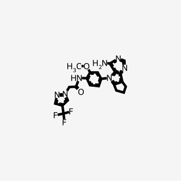 COc1cc(-n2c3c(c4ncnc(N)c42)CCC3)ccc1NC(=O)Cn1cc(C(F)(F)F)cn1